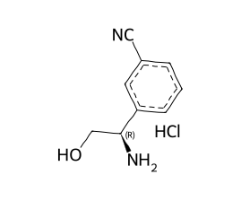 Cl.N#Cc1cccc([C@@H](N)CO)c1